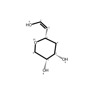 O/C=C\[C@@H]1C[C@H](O)[C@H](O)CO1